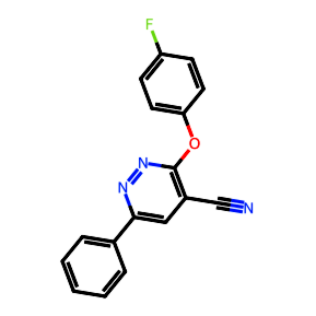 N#Cc1cc(-c2ccccc2)nnc1Oc1ccc(F)cc1